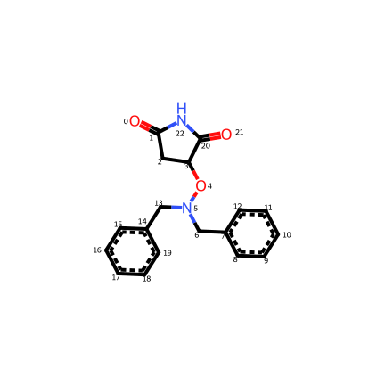 O=C1CC(ON(Cc2ccccc2)Cc2ccccc2)C(=O)N1